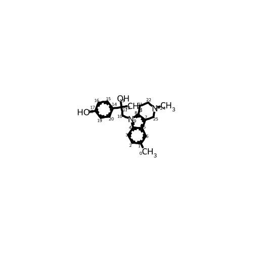 Cc1ccc2c(c1)c1c(n2CC(C)(O)c2ccc(O)cc2)CCN(C)C1